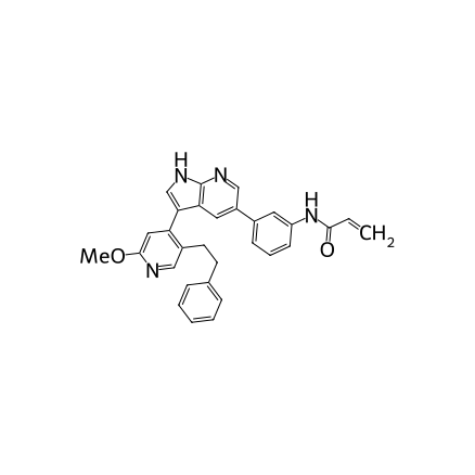 C=CC(=O)Nc1cccc(-c2cnc3[nH]cc(-c4cc(OC)ncc4CCc4ccccc4)c3c2)c1